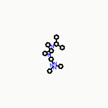 c1ccc(-c2cc(-c3ccccc3)cc(-n3c4ccccc4c4c5c6ccccc6n(-c6ccc(-c7nc(-c8ccccc8)nc(-c8ccccc8)n7)cc6)c5ccc43)c2)cc1